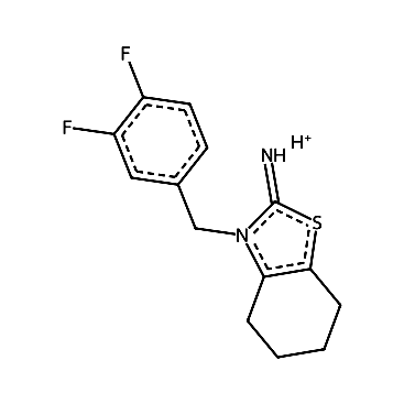 N=c1sc2c(n1Cc1ccc(F)c(F)c1)CCCC2.[H+]